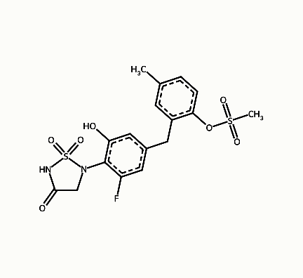 Cc1ccc(OS(C)(=O)=O)c(Cc2cc(O)c(N3CC(=O)NS3(=O)=O)c(F)c2)c1